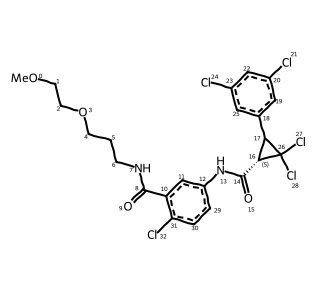 COCCOCCCNC(=O)c1cc(NC(=O)[C@@H]2C(c3cc(Cl)cc(Cl)c3)C2(Cl)Cl)ccc1Cl